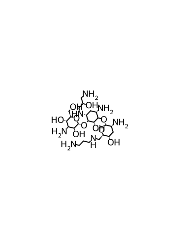 NCCCNC[C@H]1O[C@H](OC2[C@@H](N)C[C@@H](NCC(O)CN)[C@H](O[C@H]3O[C@H](CO)[C@@H](O)[C@H](N)[C@H]3O)[C@H]2O)[C@H](N)C[C@@H]1O